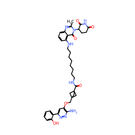 Cc1nc2cccc(NCCCCCCCCNC(=O)C34CC(COc5cc(-c6ccccc6O)nnc5N)(C3)C4)c2c(=O)n1C1CCC(=O)NC1=O